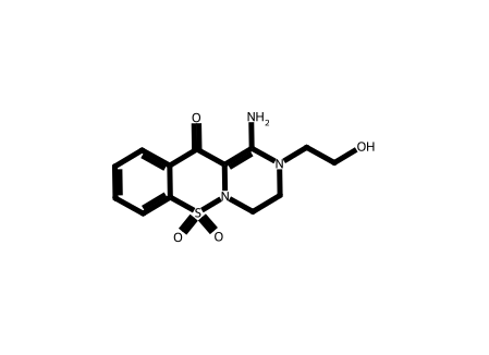 NC1=C2C(=O)c3ccccc3S(=O)(=O)N2CCN1CCO